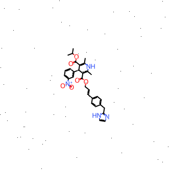 CC1=C(C(=O)OCC=Cc2ccc(Cc3ncc[nH]3)cc2)C(c2cccc([N+](=O)[O-])c2)C(C(=O)OC(C)C)=C(C)N1